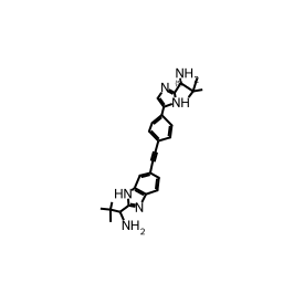 CC(C)(C)C(N)c1nc2ccc(C#Cc3ccc(-c4cnc([C@@H](N)C(C)(C)C)[nH]4)cc3)cc2[nH]1